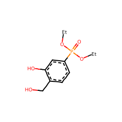 CCOP(=O)(OCC)c1ccc(CO)c(O)c1